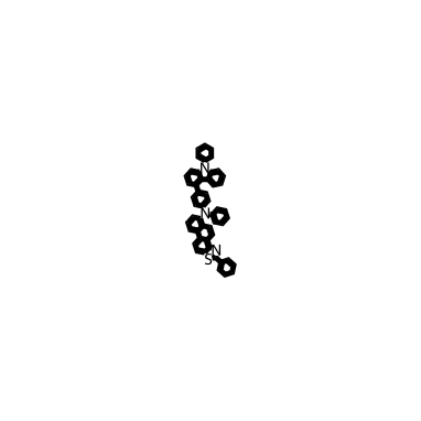 C1=CCCC(n2c3ccccc3c3c(-c4ccc(N(c5ccccc5)c5cccc6c5ccc5c6ccc6sc(C7=CCCC=C7)nc65)cc4)cccc32)=C1